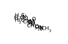 Cc1cc(C2CCN(C)C(C)(C)C2C)cn2c(=O)cc(-c3ccc4nn(C)cc4c3)nc12